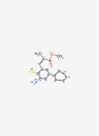 COC(=O)C(C)=Cc1cc(-c2ccccc2)cc(N)c1S